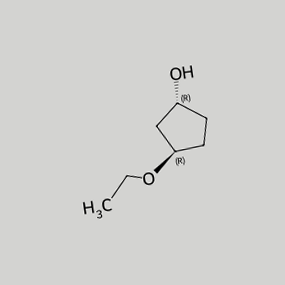 CCO[C@@H]1CC[C@@H](O)C1